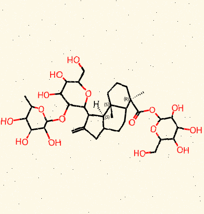 C=C1CC2CCC3[C@](C)(C(=O)OC4OC(CO)C(O)C(O)C4O)CCC[C@@]3(C)[C@@H]2C1C1OC(CO)C(O)C(O)C1OC1OC(C)C(O)C(O)C1O